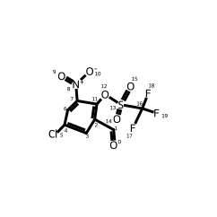 O=Cc1cc(Cl)cc([N+](=O)[O-])c1OS(=O)(=O)C(F)(F)F